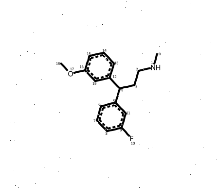 CNCCC(c1cccc(F)c1)c1cccc(OC)c1